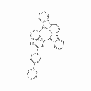 N=C(/N=C(\N)n1c2ccccc2c2ccc3c4ccccc4n(-c4ccccc4)c3c21)c1ccc(-c2ccccc2)cc1